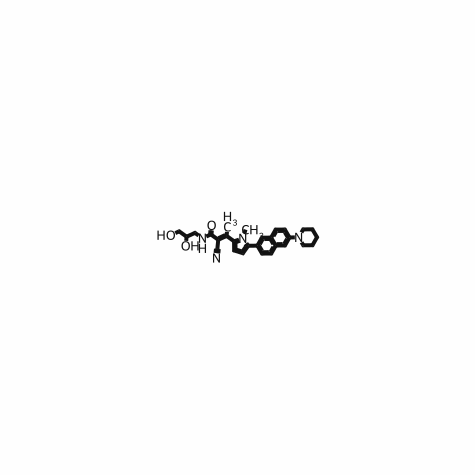 C/C(=C(/C#N)C(=O)NCC(O)CO)c1ccc(-c2ccc3cc(N4CCCCC4)ccc3c2)n1C